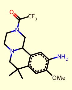 COc1cc2c(cc1N)C1CN(C(=O)C(F)(F)F)CCN1CC2(C)C